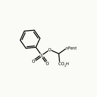 CCCCCC(OS(=O)(=O)c1ccccc1)C(=O)O